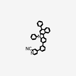 N#Cc1cc(-c2cccc(-c3ccc4c5c6ccccc6c(-c6ccccc6)cc5n(-c5ccccc5)c4c3)c2)ccn1